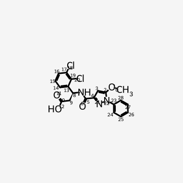 COc1cc(C(=O)N[C@@H](CC(=O)O)c2cccc(Cl)c2Cl)nn1-c1ccccc1